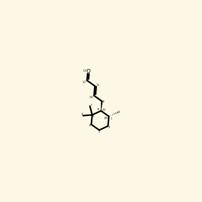 C[C@@H]1CCCC(C)(C)[C@H]1CC=CC=O